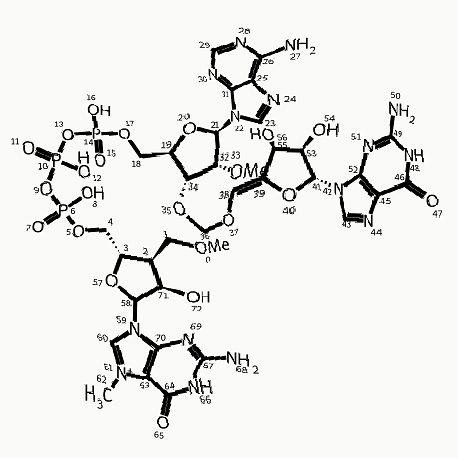 COC[C@@H]1[C@@H](COP(=O)(O)OP(=O)(O)OP(=O)(O)OC[C@H]2O[C@@H](n3cnc4c(N)ncnc43)[C@H](OC)[C@@H]2OCO/C=C2\O[C@@H](n3cnc4c(=O)[nH]c(N)nc43)[C@H](O)[C@@H]2O)OC(n2c[n+](C)c3c(=O)[nH]c(N)nc32)[C@@H]1O